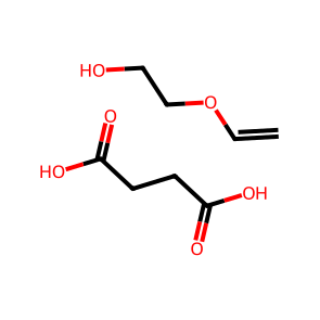 C=COCCO.O=C(O)CCC(=O)O